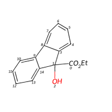 CCOC(=O)C1(O)c2ccccc2-c2ccccc21